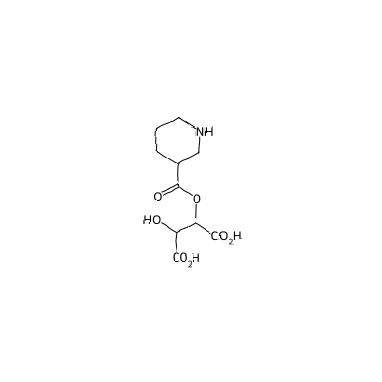 O=C(OC(C(=O)O)C(O)C(=O)O)C1CCCNC1